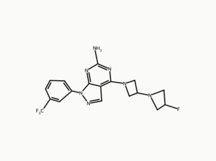 Nc1nc(N2CC(N3CC(F)C3)C2)c2cnn(-c3cccc(C(F)(F)F)c3)c2n1